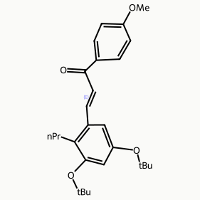 CCCc1c(/C=C/C(=O)c2ccc(OC)cc2)cc(OC(C)(C)C)cc1OC(C)(C)C